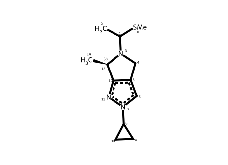 CSC(C)N1Cc2cn(C3CC3)nc2[C@H]1C